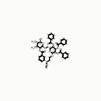 CC[C@H]1O[C@@H](OC[C@H]2O[C@@H](OCCN=[N+]=[N-])[C@H](OC(=O)c3ccccc3)[C@@H](OC(=O)c3ccccc3)[C@@H]2OC(=O)c2ccccc2)[C@H](OC(=O)c2ccccc2)[C@@H](C)[C@@H]1C